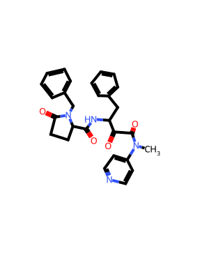 CN(C(=O)C(=O)C(Cc1ccccc1)NC(=O)C1CCC(=O)N1Cc1ccccc1)c1ccncc1